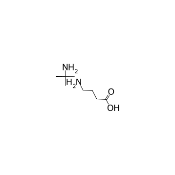 CC(C)(C)N.NCCCC(=O)O